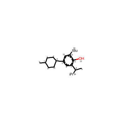 CC1CCC(c2cc(C(C)C(C)C)c(O)c(C(C)(C)C)c2)CC1